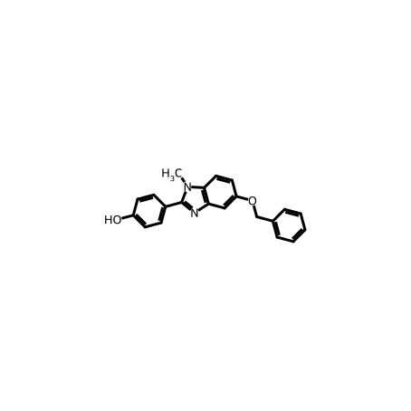 Cn1c(-c2ccc(O)cc2)nc2cc(OCc3ccccc3)ccc21